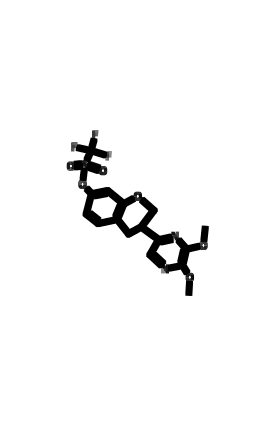 COc1ncc(C2COc3cc(OS(=O)(=O)C(F)(F)F)ccc3C2)nc1OC